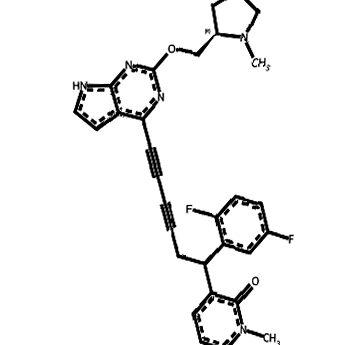 CN1CCC[C@@H]1COc1nc(C#CC#CCC(c2cc(F)ccc2F)c2cccn(C)c2=O)c2cc[nH]c2n1